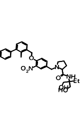 CCC(CO)(CO)NC(=O)C1CCCN1Cc1ccc(OCc2cccc(-c3ccccc3)c2C)c([N+](=O)[O-])c1